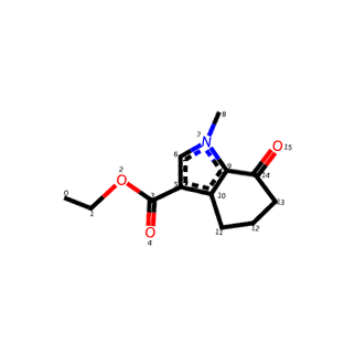 CCOC(=O)c1cn(C)c2c1CCCC2=O